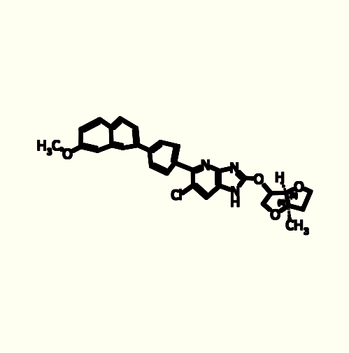 COc1ccc2ccc(-c3ccc(-c4nc5nc(OC6CO[C@]7(C)CCO[C@H]67)[nH]c5cc4Cl)cc3)cc2c1